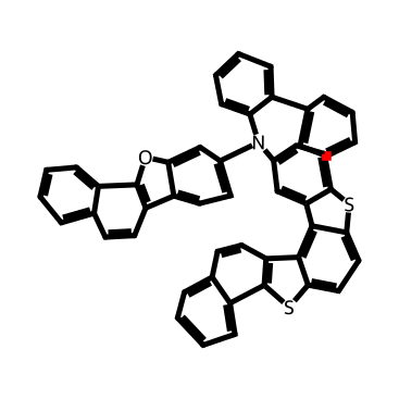 c1ccc(-c2ccccc2N(c2ccc3c(c2)oc2c4ccccc4ccc32)c2ccc3sc4ccc5sc6c7ccccc7ccc6c5c4c3c2)cc1